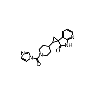 O=C(N1CCC(C2CC23C(=O)Nc2ncccc23)CC1)n1ccnc1